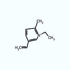 C=Cc1ccc(C)[n+](CC)c1